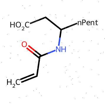 C=CC(=O)NC(CCCCC)CC(=O)O